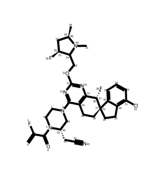 C=C(F)C(=O)N1CCN(c2nc(OCC3[C@@H](F)C[C@@H](C)N3C)nc3c2CC[C@@]2(CCc4c(Cl)cccc42)[C@H]3F)C[C@@H]1CC#N